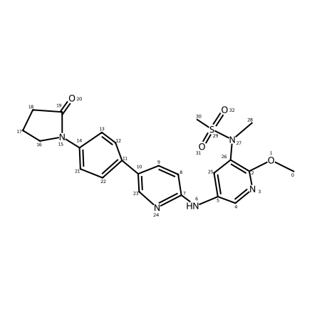 COc1ncc(Nc2ccc(-c3ccc(N4CCCC4=O)cc3)cn2)cc1N(C)S(C)(=O)=O